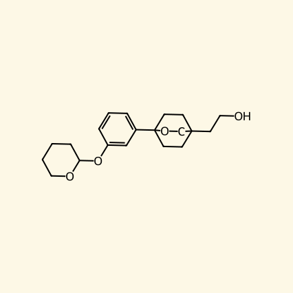 OCCC12CCC(c3cccc(OC4CCCCO4)c3)(CC1)OC2